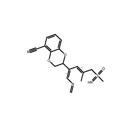 C=N/C=C(\C=C(/C)CS(C)(=N)=O)C1COc2c(C#N)cccc2O1